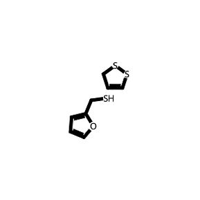 C1=CSSC1.SCc1ccco1